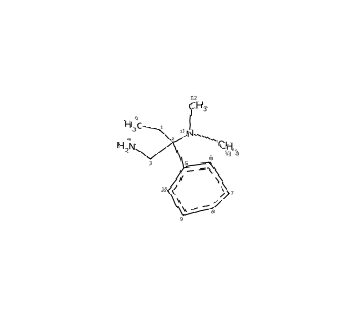 CCC(CN)(c1ccccc1)N(C)C